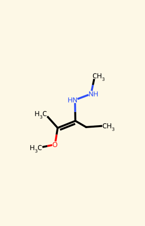 CC/C(NNC)=C(/C)OC